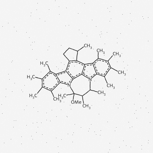 COC1(C)C(C)C(C)n2c3c(C)c(C)c(C)c(C)c3c3c4c(c5c6c(C)c(C)c(C)c(C)c6n1c5c32)CCC4C